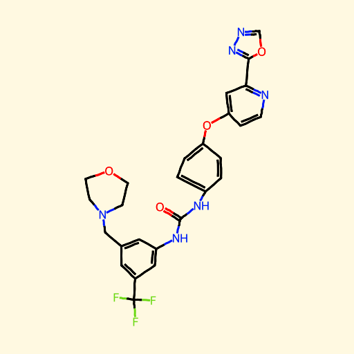 O=C(Nc1ccc(Oc2ccnc(-c3nnco3)c2)cc1)Nc1cc(CN2CCOCC2)cc(C(F)(F)F)c1